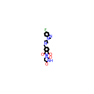 O=C1CCN(N2C(=O)c3ccc(CN4CC(n5cnc6cc(F)ccc65)C4)cc3C2=O)C(=O)N1